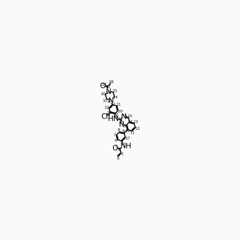 C=CC(=O)Nc1cccc(-c2cccc3cnc(Nc4ccc(N5CCN(C(C)=O)CC5)cc4Cl)nc23)c1